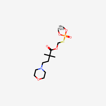 CCCC(C)OP(=O)(OC(C)(C)C)SCOC(=O)C(C)(C)CCN1CCOCC1